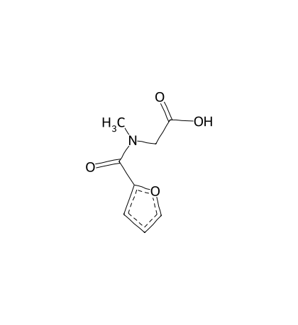 CN(CC(=O)O)C(=O)c1ccco1